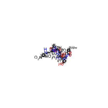 COc1ccc2c(CC(=O)N[C@@H](Cc3ccc(O)cc3)C(=O)N[C@H](C(=O)N[C@@H](C)C(=O)N[C@@H](CC(=O)O)C(=O)N[C@@H](C)C(=O)N3CCC[C@H]3C(=O)N[C@@H](CCCCNc3ccc([N+](=O)[O-])cc3[N+](=O)[O-])C(=O)O)C(C)C)cc(=O)oc2c1